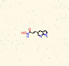 Cn1ccc2cc(/C=C/C(=O)NO)cnc21